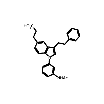 CC(=O)Nc1cccc(-n2cc(CCc3ccccc3)c3cc(CCC(=O)O)ccc32)c1